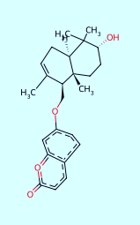 CC1=CC[C@H]2C(C)(C)[C@H](O)CC[C@]2(C)[C@H]1COc1ccc2ccc(=O)oc2c1